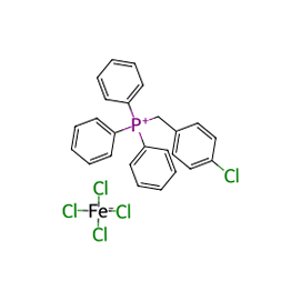 Clc1ccc(C[P+](c2ccccc2)(c2ccccc2)c2ccccc2)cc1.[Cl][Fe-]([Cl])([Cl])[Cl]